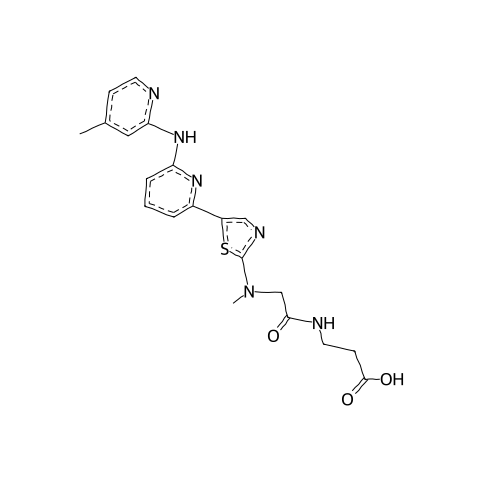 Cc1ccnc(Nc2cccc(-c3cnc(N(C)CC(=O)NCCC(=O)O)s3)n2)c1